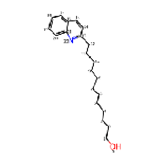 OCCCCCCCCCCCCc1ccc2ccccc2n1